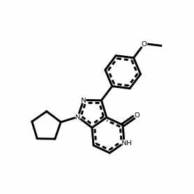 COc1ccc(-c2nn(C3CCCC3)c3cc[nH]c(=O)c23)cc1